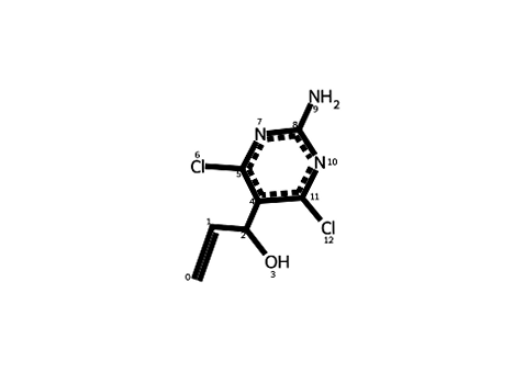 C=CC(O)c1c(Cl)nc(N)nc1Cl